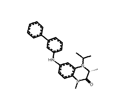 CC(C)N1c2cc(Nc3cccc(-c4ccccc4)c3)ccc2N(C)C(=O)[C@H]1C